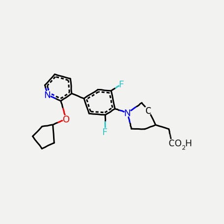 O=C(O)CC1CCN(c2c(F)cc(-c3cccnc3OC3CCCC3)cc2F)CC1